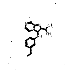 CC(C)C1N=C2C=NC=CN2C1Nc1cccc(CI)c1